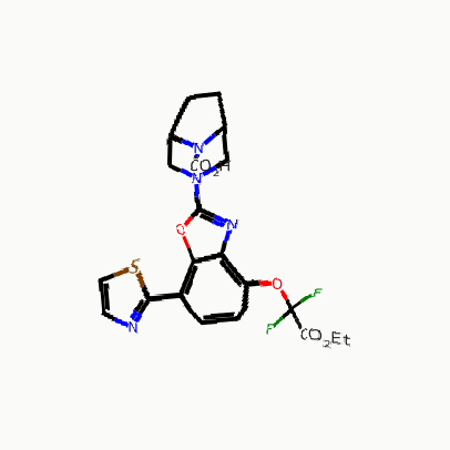 CCOC(=O)C(F)(F)Oc1ccc(-c2nccs2)c2oc(N3CC4CCC(C3)N4C(=O)O)nc12